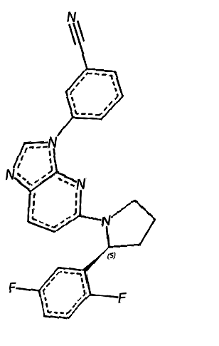 N#Cc1cccc(-n2cnc3ccc(N4CCC[C@H]4c4cc(F)ccc4F)nc32)c1